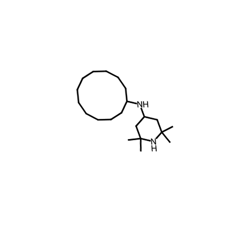 CC1(C)CC(NC2CCCCCCCCCCC2)CC(C)(C)N1